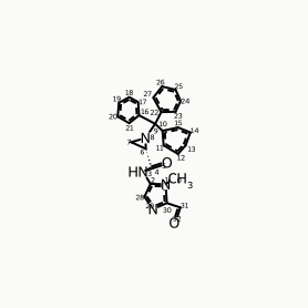 Cn1c(NC(=O)[C@@H]2CN2C(c2ccccc2)(c2ccccc2)c2ccccc2)cnc1C=O